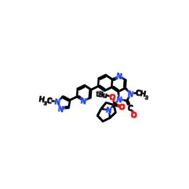 CN1C(=C=O)N(C2CC3CCC(C2)N3C(=O)OC(C)(C)C)c2c1cnc1ccc(-c3ccc(-c4cnn(C)c4)nc3)cc21